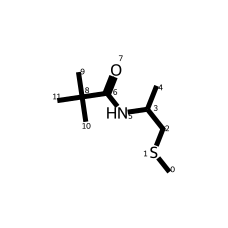 CSCC(C)NC(=O)C(C)(C)C